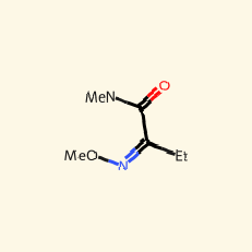 CCC(=NOC)C(=O)NC